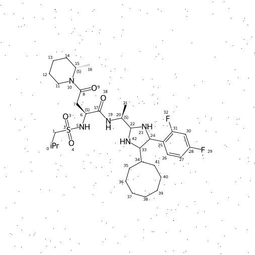 CC(C)CS(=O)(=O)N[C@@H](CC(=O)N1CCCC[C@@H]1C)C(=O)N[C@@H](C)C1NC(c2ccc(F)cc2F)C(C2CCCCCCC2)N1